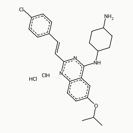 CC(C)Oc1ccc2nc(/C=C/c3ccc(Cl)cc3)nc(NC3CCC(N)CC3)c2c1.Cl.Cl